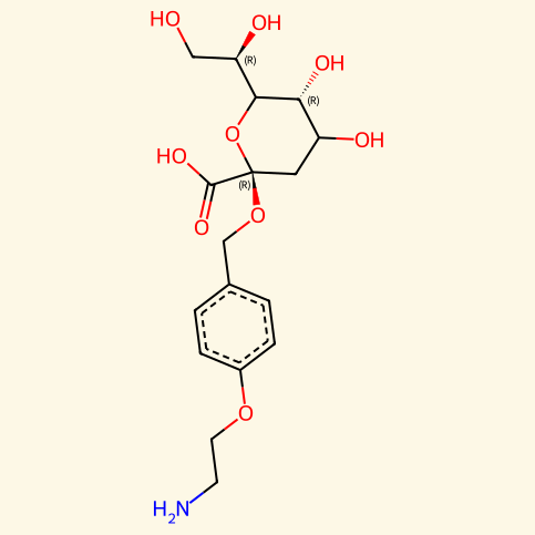 NCCOc1ccc(CO[C@]2(C(=O)O)CC(O)[C@@H](O)C([C@H](O)CO)O2)cc1